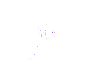 C=CC(=O)N1CC[C@H](n2c(=O)c(-c3ccccc3)nc3cnc(Nc4ccc(N5CCC(N6CCN(C)CC6)CC5)c(C)c4)nc32)C1